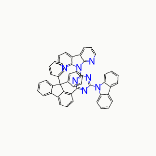 c1ccc(C2(c3ccccc3)c3ccccc3-c3cccc(-c4nc(-n5c6ccccc6c6ccccc65)nc(-n5c6ncccc6c6cccnc65)n4)c32)cc1